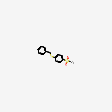 O=S(=O)(c1ccc(SCc2ccccc2)cc1)C(F)(F)F